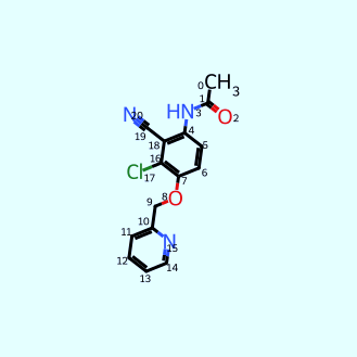 CC(=O)Nc1ccc(OCc2ccccn2)c(Cl)c1C#N